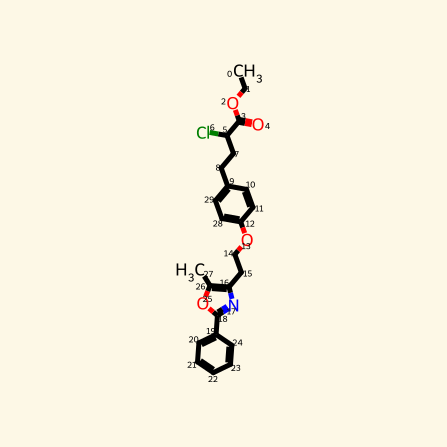 CCOC(=O)C(Cl)CCc1ccc(OCCc2nc(-c3ccccc3)oc2C)cc1